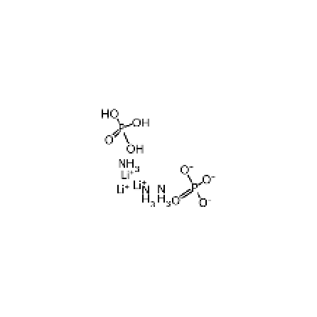 N.N.N.O=P(O)(O)O.O=P([O-])([O-])[O-].[Li+].[Li+].[Li+]